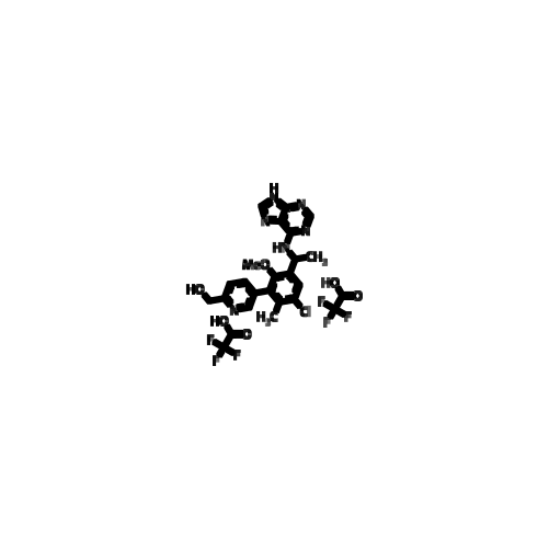 COc1c(C(C)Nc2ncnc3[nH]cnc23)cc(Cl)c(C)c1-c1ccc(CO)nc1.O=C(O)C(F)(F)F.O=C(O)C(F)(F)F